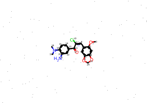 COc1cc2c(cc1/C=C(/Cl)C(=O)c1ccc(N(C)C)c(N)c1)OCO2